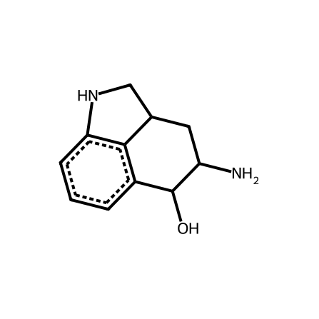 NC1CC2CNc3cccc(c32)C1O